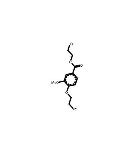 COc1cc(C(=O)OCCC(C)C)ccc1OCCC(C)C